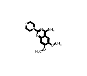 COc1cc2nc(N3CCSCC3)nc(N)c2cc1OC